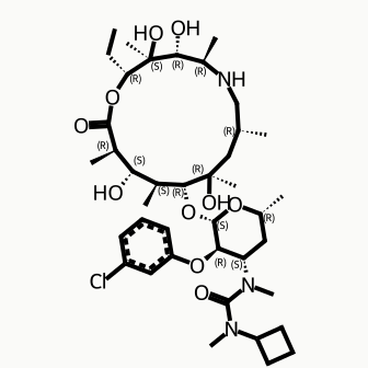 CC[C@H]1OC(=O)[C@H](C)[C@@H](O)[C@H](C)[C@@H](O[C@@H]2O[C@H](C)C[C@H](N(C)C(=O)N(C)C3CCC3)[C@H]2Oc2cccc(Cl)c2)[C@](C)(O)C[C@@H](C)CN[C@H](C)[C@@H](O)[C@]1(C)O